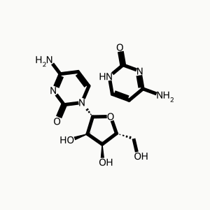 Nc1cc[nH]c(=O)n1.Nc1ccn([C@@H]2O[C@H](CO)[C@@H](O)[C@H]2O)c(=O)n1